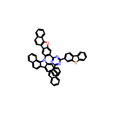 c1ccc2cc(-c3nc(-c4ccc5c(c4)sc4ccccc45)nc(-c4cc5oc6c7ccccc7ccc6c5cc4-n4c5cc6ccccc6cc5c5ccc6ccccc6c54)n3)ccc2c1